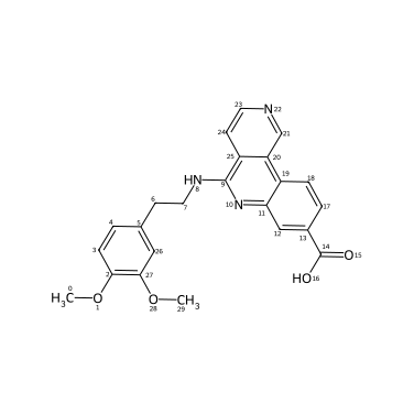 COc1ccc(CCNc2nc3cc(C(=O)O)ccc3c3cnccc23)cc1OC